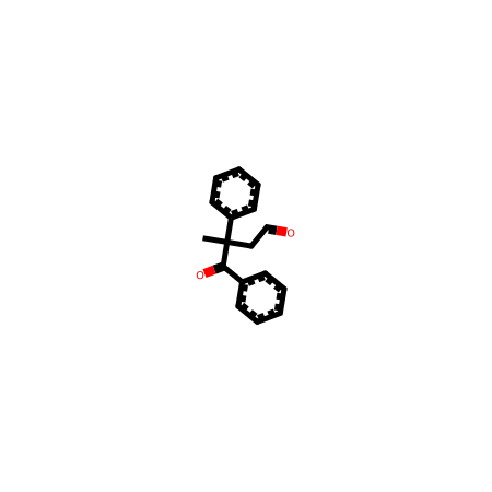 CC(CC=O)(C(=O)c1ccccc1)c1ccccc1